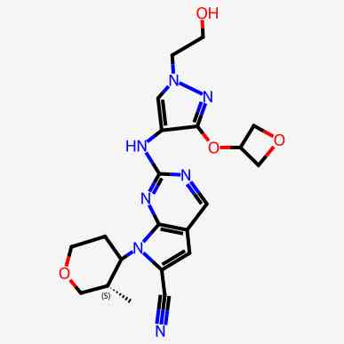 C[C@@H]1COCCC1n1c(C#N)cc2cnc(Nc3cn(CCO)nc3OC3COC3)nc21